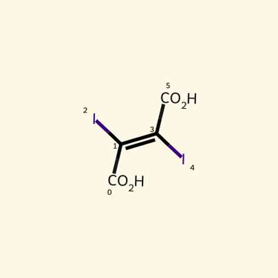 O=C(O)C(I)=C(I)C(=O)O